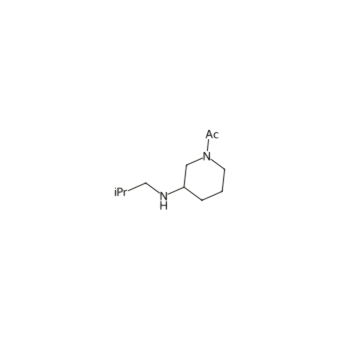 CC(=O)N1CCCC(NCC(C)C)C1